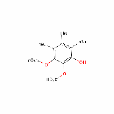 CCCCCCCCOc1c(CCCC)c(CCCC)c(CCCC)c(O)c1OC(=O)O